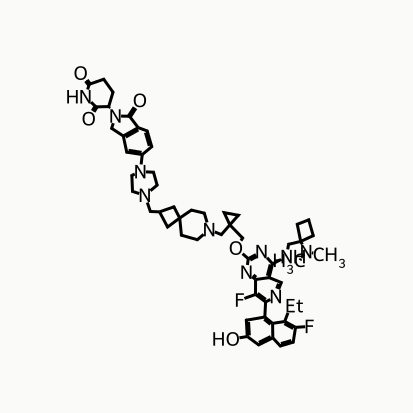 CCc1c(F)ccc2cc(O)cc(-c3ncc4c(NCC5(N(C)C)CCC5)nc(OCC5(CN6CCC7(CC6)CC(CN6CCN(c8ccc9c(c8)CN([C@H]8CCC(=O)NC8=O)C9=O)CC6)C7)CC5)nc4c3F)c12